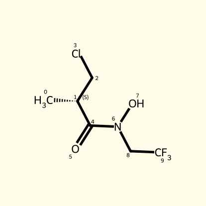 C[C@H](CCl)C(=O)N(O)CC(F)(F)F